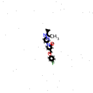 Cc1c(C2CC2)nc2ccc(-n3ccc(COc4ccc(F)cc4)cc3=O)cn12